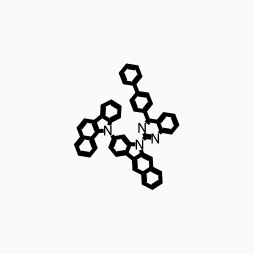 c1ccc(-c2ccc(-c3nc(-n4c5cc(-n6c7ccccc7c7ccc8ccccc8c76)ccc5c5cc6ccccc6cc54)nc4ccccc34)cc2)cc1